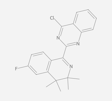 CC1(C)N=C(c2nc(Cl)c3ccccc3n2)c2ccc(F)cc2C1(C)C